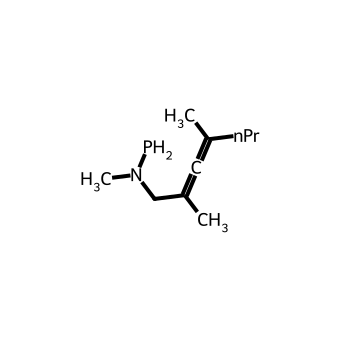 CCCC(C)=C=C(C)CN(C)P